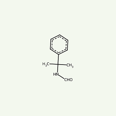 CC(C)(NC=O)c1ccccc1